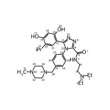 CCN(CC)CCNC(=O)c1nnc(-c2cc(C(C)C)c(O)cc2O)n1-c1ccc(CN2CCN(C)CC2)cc1